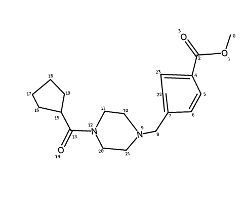 COC(=O)c1ccc(CN2CCN(C(=O)C3CCCC3)CC2)cc1